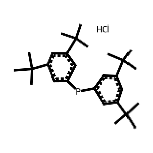 CC(C)(C)c1cc([P]c2cc(C(C)(C)C)cc(C(C)(C)C)c2)cc(C(C)(C)C)c1.Cl